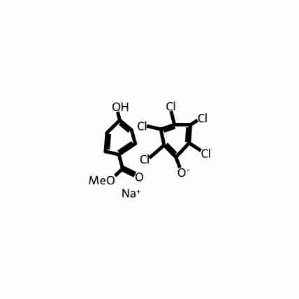 COC(=O)c1ccc(O)cc1.[Na+].[O-]c1c(Cl)c(Cl)c(Cl)c(Cl)c1Cl